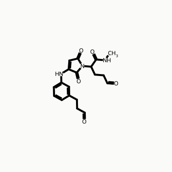 CNC(=O)C(CCC=O)N1C(=O)C=C(Nc2cccc(CCC=O)c2)C1=O